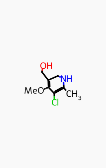 COC1=C(CO)CNC(C)=C1Cl